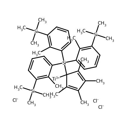 CC1=C(C)[C]([Ti+3])([Si](c2cccc([Si](C)(C)C)c2C)(c2cccc([Si](C)(C)C)c2C)c2cccc([Si](C)(C)C)c2C)C(C)=C1C.[Cl-].[Cl-].[Cl-]